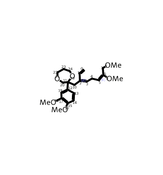 C=C/C(=C\C/C=C(\COC)OC)CC1(c2ccc(OC)c(OC)c2)COCCCO1